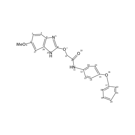 COc1ccc2nc(OCC(=O)Nc3ccc(Oc4ccccc4)cc3)[nH]c2c1